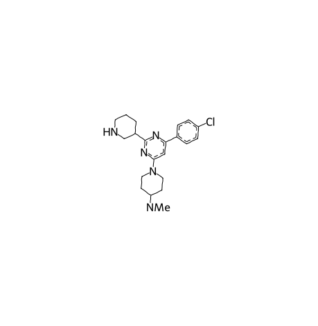 CNC1CCN(c2cc(-c3ccc(Cl)cc3)nc(C3CCCNC3)n2)CC1